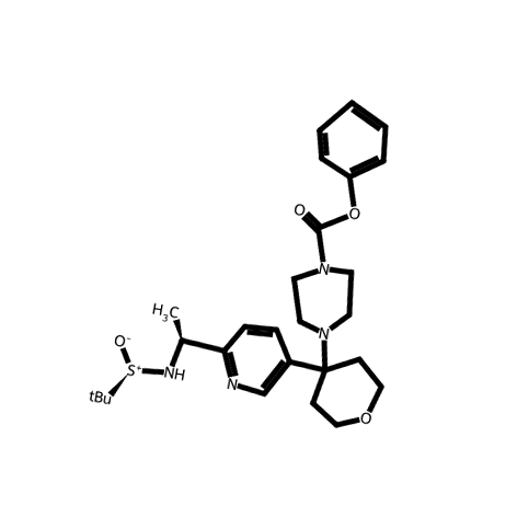 C[C@H](N[S@+]([O-])C(C)(C)C)c1ccc(C2(N3CCN(C(=O)Oc4ccccc4)CC3)CCOCC2)cn1